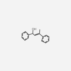 C/C(=C\C(O)c1ccccc1)c1ccccc1